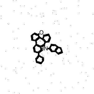 C=C(Nc1ccc2c(c1)C=CC2)c1cccc2oc3cccc(-c4ccc(-c5ccccc5)cc4)c3c12